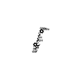 COc1ccc(OCCNC[C@H](O)COc2cccc3c2c(C)nn3C(=O)OC(C)(C)C)cc1OC